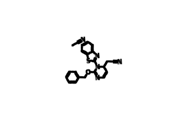 CC#N.N#CCC1C=CN=C(OCc2ccccc2)N1c1nc2ccccc2s1